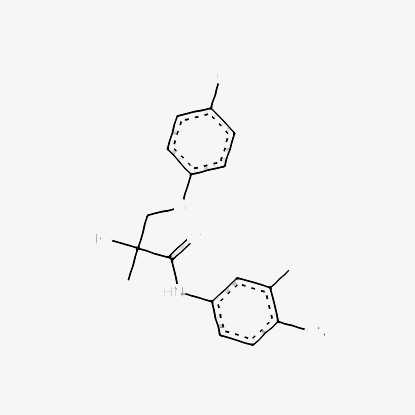 CC(O)(COc1ccc(Cl)cc1)C(=O)Nc1ccc(C#N)c(C(F)(F)F)c1